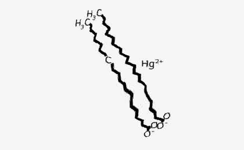 CCCCCCCCCCCCCCCCCCCCCC(=O)[O-].CCCCCCCCCCCCCCCCCCCCCC(=O)[O-].[Hg+2]